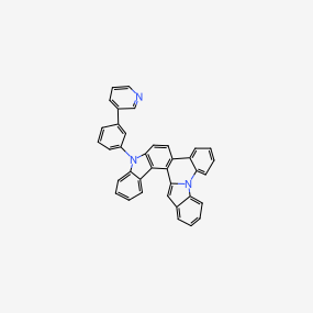 c1cncc(-c2cccc(-n3c4ccccc4c4c5c(ccc43)c3ccccc3n3c4ccccc4cc53)c2)c1